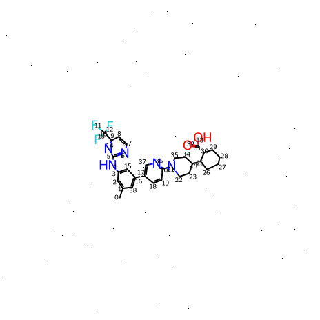 Cc1cc(Nc2nccc(C(F)(F)F)n2)cc(-c2ccc(N3CCC([C@@H]4CCCC[C@H]4C(=O)O)CC3)nc2)c1